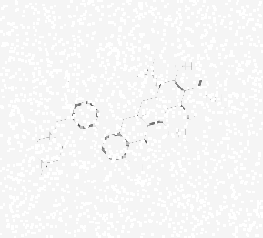 CCc1ccc(-c2ccc(O)c3c2C[C@H]2C[C@H]4[C@@H](N(C)C)C(O)=C(C(N)=O)C(=O)[C@@]4(O)C(O)=C2C3=O)cc1CN1CCN(C)CC1